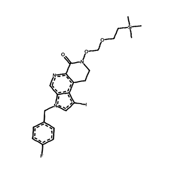 C[Si](C)(C)CCOCON1CCc2c(ncc3c2c(I)cn3Cc2ccc(F)cc2)C1=O